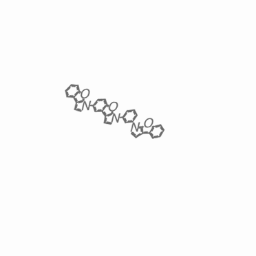 c1cc(-n2ccc3c4ccccc4oc32)cc(-n2ccc3c4cc(-n5ccc6c7ccccc7oc65)ccc4oc32)c1